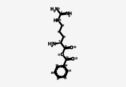 N=C(N)NCCC[C@H](N)C(=O)OC(=O)c1ccccc1